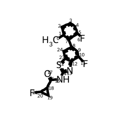 Cc1cccc(F)c1-c1cc(F)c2nc(NC(=O)C3CC3F)sc2c1